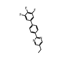 CCc1cnc(-c2ccc(-c3cc(F)c(F)c(F)c3)cc2)nc1